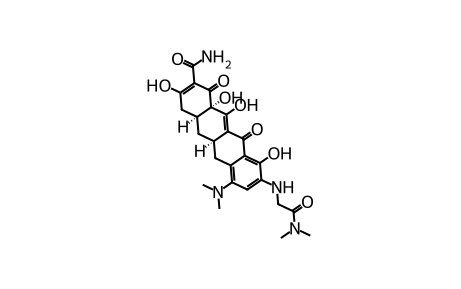 CN(C)C(=O)CNc1cc(N(C)C)c2c(c1O)C(=O)C1=C(O)[C@]3(O)C(=O)C(C(N)=O)=C(O)C[C@@H]3C[C@@H]1C2